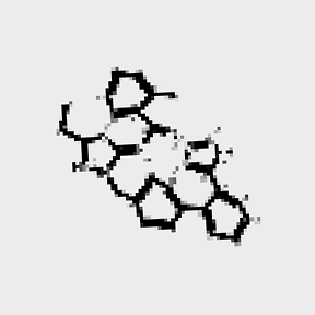 CCC1NN(Cc2ccc(-c3ccccc3-c3nnn[nH]3)cc2)C(=NC(=O)c2ccccc2C)S1